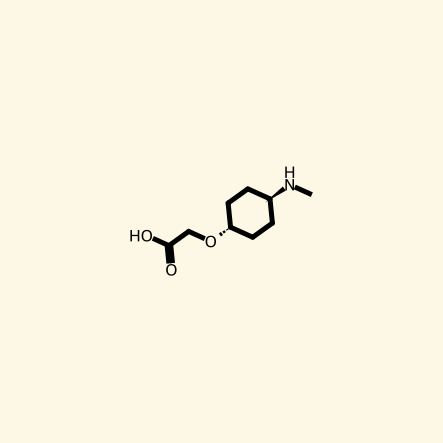 CN[C@H]1CC[C@H](OCC(=O)O)CC1